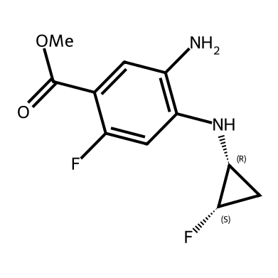 COC(=O)c1cc(N)c(N[C@@H]2C[C@@H]2F)cc1F